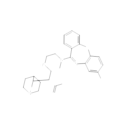 O=C(O)[C@H](C1CN2CCC1CC2)[C@H]1CN(C2=Nc3cc(Cl)ccc3Oc3ccccc32)CCN1